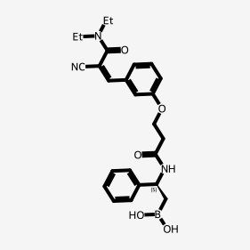 CCN(CC)C(=O)C(C#N)=Cc1cccc(OCCC(=O)N[C@@H](CB(O)O)c2ccccc2)c1